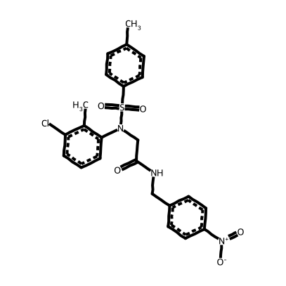 Cc1ccc(S(=O)(=O)N(CC(=O)NCc2ccc([N+](=O)[O-])cc2)c2cccc(Cl)c2C)cc1